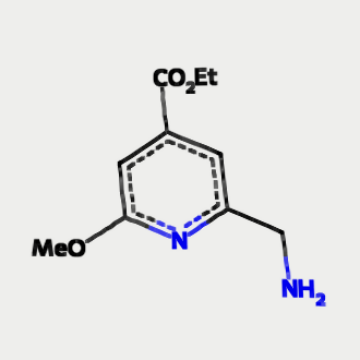 CCOC(=O)c1cc(CN)nc(OC)c1